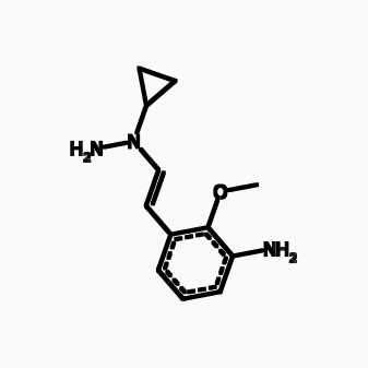 COc1c(N)cccc1/C=C/N(N)C1CC1